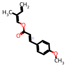 C=CC(C)=COC(=O)/C=C/c1ccc(OC)cc1